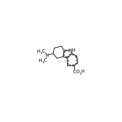 CN(C)C1CCc2[nH]c3ccc(C(=O)O)cc3c2C1